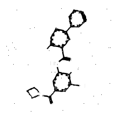 O=C(Nc1cc(C(=O)N2CCC2)cc(Cl)c1O)c1cc(-c2cc#ccc2)ccc1F